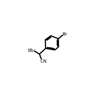 CC(C)(C)C(C#N)c1ccc(Br)cc1